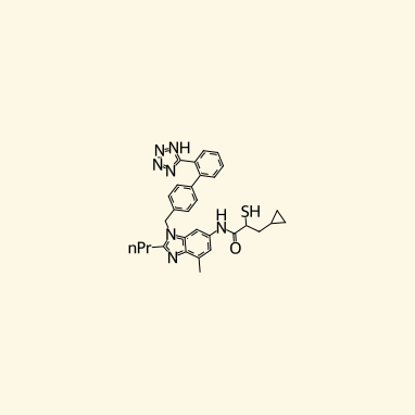 CCCc1nc2c(C)cc(NC(=O)C(S)CC3CC3)cc2n1Cc1ccc(-c2ccccc2-c2nnn[nH]2)cc1